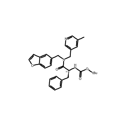 Cc1cncc(CN(Cc2ccc3occc3c2)C(=O)[C@H](Cc2ccccc2)NC(=O)OC(C)(C)C)c1